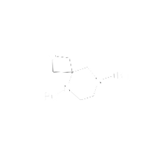 CC(C)(C)N1CCN(C(C)(C)C)C2(COC2)C1